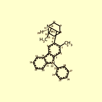 Cc1cc2c(cc1C1C3CCN(CC3)[C@@H]1C)c1ccccc1n2-c1ccccc1